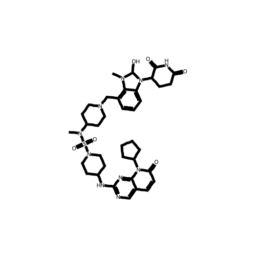 CN1c2c(CN3CCC(N(C)S(=O)(=O)N4CCC(Nc5ncc6ccc(=O)n(C7CCCC7)c6n5)CC4)CC3)cccc2N(C2CCC(=O)NC2=O)C1O